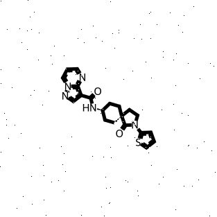 O=C(N[C@H]1CC[C@@]2(CCN(c3cccs3)C2=O)CC1)c1cnn2cccnc12